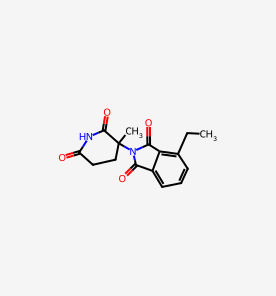 CCc1cccc2c1C(=O)N(C1(C)CCC(=O)NC1=O)C2=O